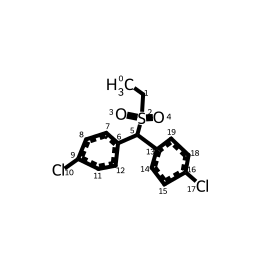 CCS(=O)(=O)C(c1ccc(Cl)cc1)c1ccc(Cl)cc1